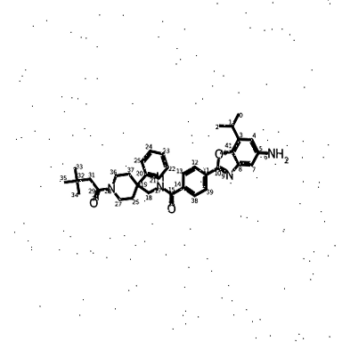 CC(C)c1cc(N)cc2nc(-c3ccc(C(=O)NCC4(c5ccccc5)CCN(C(=O)CC(C)(C)C)CC4)cc3)oc12